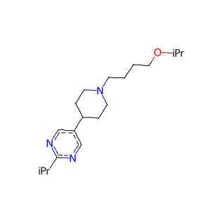 CC(C)OCCCCN1CCC(c2cnc(C(C)C)nc2)CC1